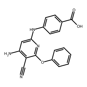 N#Cc1c(N)cc(Nc2ccc(C(=O)O)cc2)nc1Oc1ccccc1